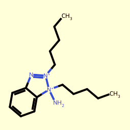 CCCCC[N+]1=Nc2ccccc2[N+]1(N)CCCCC